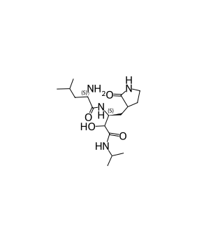 CC(C)C[C@H](N)C(=O)N[C@@H](CC1CCNC1=O)C(O)C(=O)NC(C)C